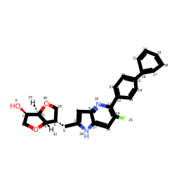 O[C@@H]1CO[C@@H]2[C@@H](Cc3cc4nc(-c5ccc(-c6ccccc6)cc5)c(F)cc4[nH]3)CO[C@@H]21